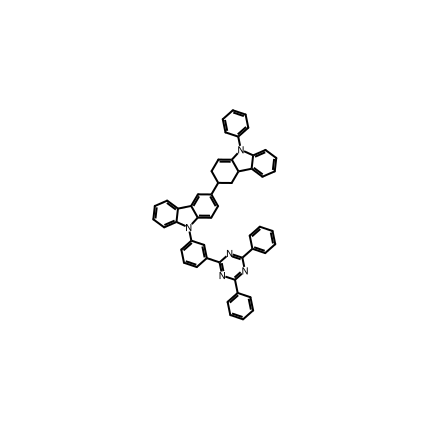 C1=C2C(CC(c3ccc4c(c3)c3ccccc3n4-c3cccc(-c4nc(-c5ccccc5)nc(-c5ccccc5)n4)c3)C1)c1ccccc1N2c1ccccc1